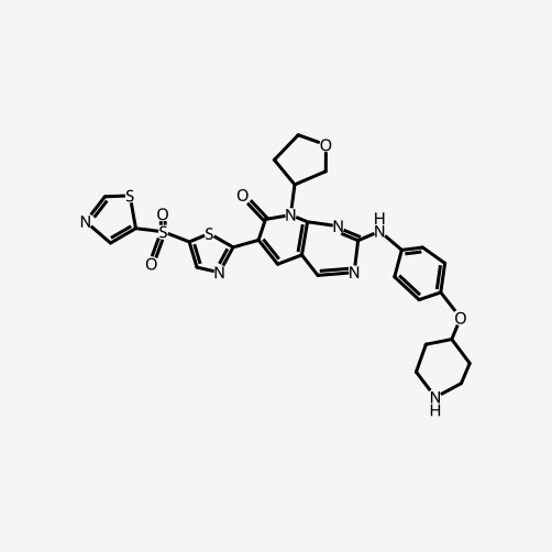 O=c1c(-c2ncc(S(=O)(=O)c3cncs3)s2)cc2cnc(Nc3ccc(OC4CCNCC4)cc3)nc2n1C1CCOC1